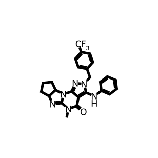 CN1C(=O)c2c(nn(Cc3ccc(C(F)(F)F)cc3)c2Nc2ccccc2)N2C1=NC1CCCC12